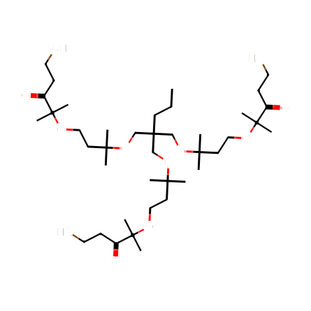 CCCC(COC(C)(C)CCOC(C)(C)C(=O)CCS)(COC(C)(C)CCOC(C)(C)C(=O)CCS)COC(C)(C)CCOC(C)(C)C(=O)CCS